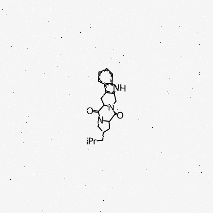 CC(C)CC1CC2C(=O)N3Cc4[nH]c5ccccc5c4CC3C(=O)N2C1